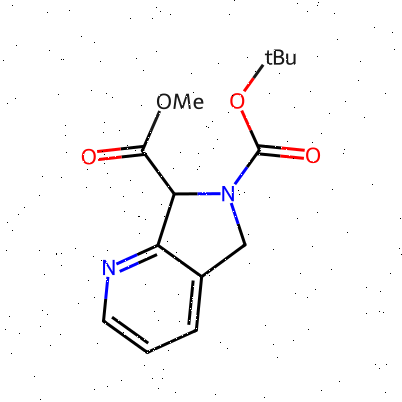 COC(=O)C1c2ncccc2CN1C(=O)OC(C)(C)C